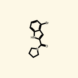 O=C(c1cc2c(Br)cccc2[nH]1)N1CCCC1